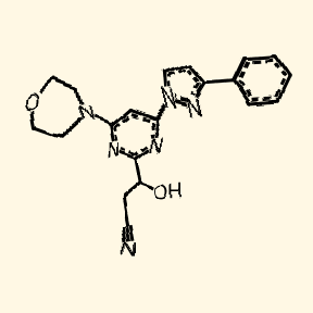 N#CCC(O)c1nc(N2CCOCC2)cc(-n2ccc(-c3ccccc3)n2)n1